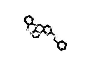 Clc1ccccc1N1Cc2cnc(SCc3ccccc3)nc2N2CCN=C12